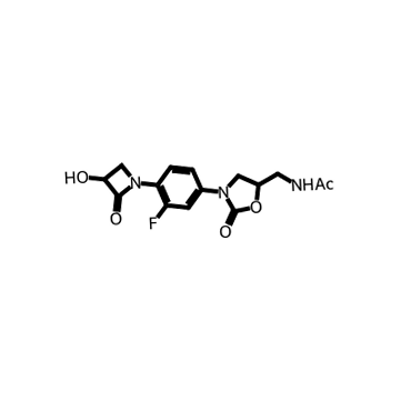 CC(=O)NCC1CN(c2ccc(N3CC(O)C3=O)c(F)c2)C(=O)O1